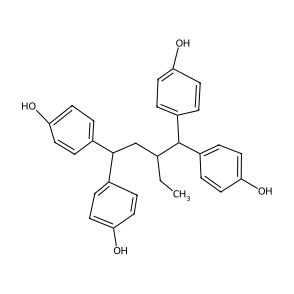 CCC(CC(c1ccc(O)cc1)c1ccc(O)cc1)C(c1ccc(O)cc1)c1ccc(O)cc1